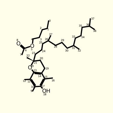 CCCCCOC(C)=O.Cc1c(C)c2c(c(C)c1O)CC[C@@](C)(CCCC(C)CCCC(C)CCCC(C)C)O2